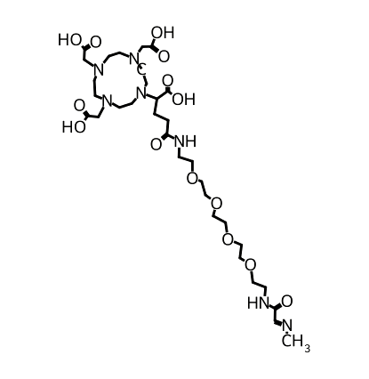 CN=CC(=O)NCCOCCOCCOCCOCCNC(=O)CCC(C(=O)O)N1CCN(CC(=O)O)CCN(CC(=O)O)CCN(CC(=O)O)CC1